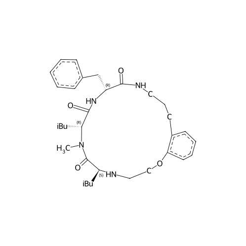 CCC(C)[C@@H]1NCCOc2ccccc2CCCNC(=O)[C@@H](Cc2ccccc2)NC(=O)[C@@H](C(C)CC)N(C)C1=O